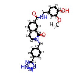 COc1cc(CNC(=O)c2ccc3ccn(Cc4ccc(-c5nn[nH]n5)cc4)c(=O)c3c2)ccc1O